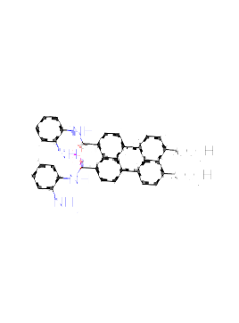 Nc1ccccc1NC(=O)c1ccc2c3ccc(C(=O)O)c4c(C(=O)O)ccc(c5ccc(C(=O)Nc6ccccc6N)c1c25)c43